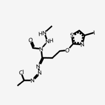 CNNN(C=O)/C(CCOc1nc(I)cs1)=N/N=N\C(C)Cl